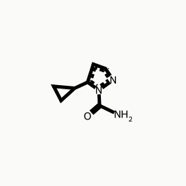 NC(=O)n1n[c]cc1C1CC1